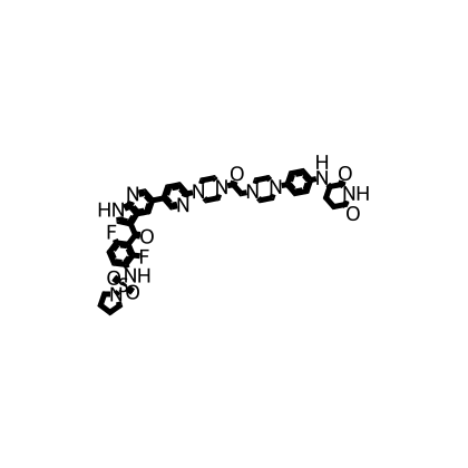 O=C1CCC(Nc2ccc(N3CCN(CC(=O)N4CCN(c5ccc(-c6cnc7[nH]cc(C(=O)c8c(F)ccc(NS(=O)(=O)N9CCCC9)c8F)c7c6)cn5)CC4)CC3)cc2)C(=O)N1